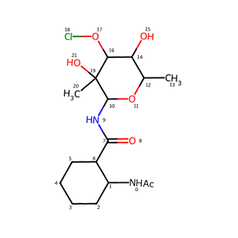 CC(=O)NC1CCCCC1C(=O)NC1OC(C)C(O)C(OCl)C1(C)O